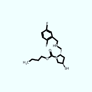 CCCCOC(=O)N1C[C@H](S)C[C@H]1CNCc1cc(F)ccc1F